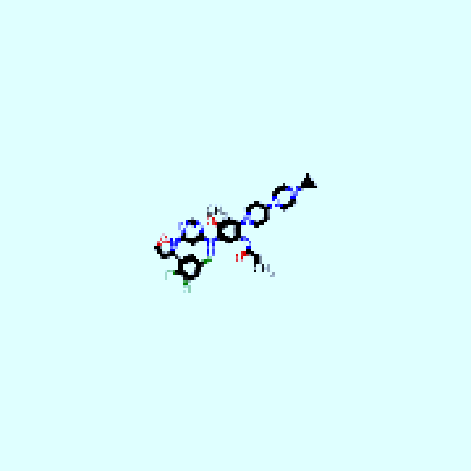 C=CC(=O)Nc1cc(Nc2cc(N3OCC[C@@H]3c3cc(F)cc(Cl)c3F)ncn2)c(OC)cc1N1CCC(N2CCN(C3CC3)CC2)CC1